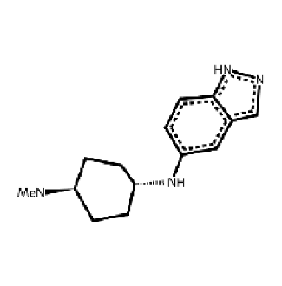 CN[C@H]1CC[C@H](Nc2ccc3[nH]ncc3c2)CC1